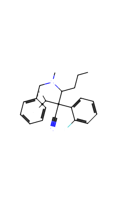 CCCC(N(C)Cc1ccccc1)C(C#N)(c1ccccc1F)C(C)C